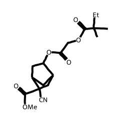 CCC(C)(C)C(=O)OCC(=O)OC1CC2CC1CC2(C#N)C(=O)OC